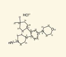 CCCN1CCN(c2ccc(N3CCOCC3)cc2C2=CCC(C)(C)CC2)CC1.Cl